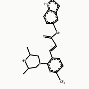 CC1CN(c2nc(C(F)(F)F)ccc2/C=C/C(=O)Nc2ccc3[nH]ccc3c2)CC(C)N1